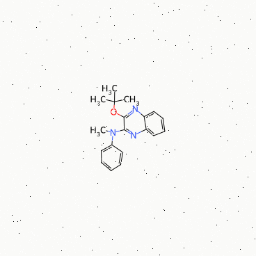 CN(c1ccccc1)c1nc2ccccc2nc1OC(C)(C)C